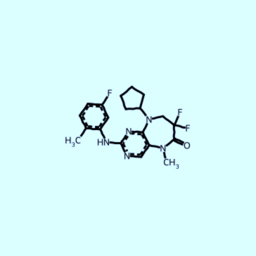 Cc1ccc(F)cc1Nc1ncc2c(n1)N(C1CCCC1)CC(F)(F)C(=O)N2C